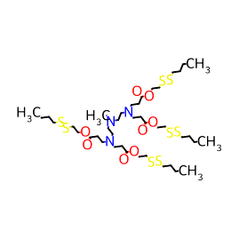 CCCCSSCCOC(=O)CCN(CCC(=O)OCCSSCCCC)CCN(C)CCN(CCC(=O)OCCSSCCCC)CCC(=O)OCCSSCCCC